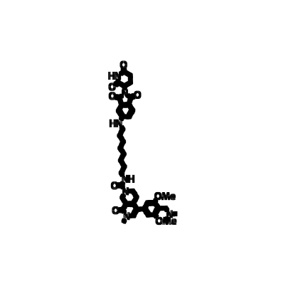 COc1cc(-c2cn(C)c(=O)c3c2CCN(C(=O)NCCCCCCCCNc2ccc4c(c2)C(=O)N(C2CCC(=O)NC2=O)C4=O)C3)cc(OC)c1CN(C)C